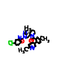 Cc1ccc(-c2ccc(C)nc2)c(C(=O)N2CCC[C@@H](C)C2CNc2nc3cc(Cl)ccc3o2)c1